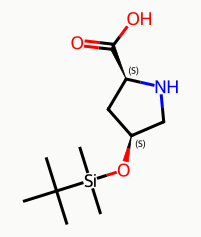 CC(C)(C)[Si](C)(C)O[C@@H]1CN[C@H](C(=O)O)C1